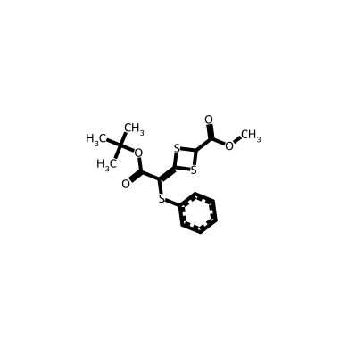 COC(=O)C1SC(=C(Sc2ccccc2)C(=O)OC(C)(C)C)S1